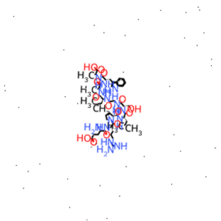 CC(C)C[C@H](NC(=O)CNC(=O)[C@H](CO)NC(=O)[C@H](CC(C)C)NC(=O)[C@@H]1CCCN1C(=O)[C@H](CCCNC(=N)N)NC(=O)[C@@H](N)CCC(=O)O)C(=O)N[C@@H](C)C(=O)N[C@@H](Cc1c[nH]c2ccccc12)C(=O)N[C@@H](C)C(=O)O